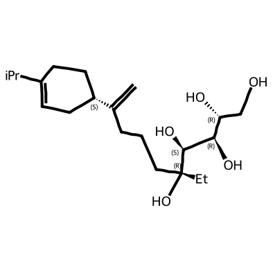 C=C(CCC[C@](O)(CC)[C@@H](O)[C@H](O)[C@H](O)CO)[C@@H]1CC=C(C(C)C)CC1